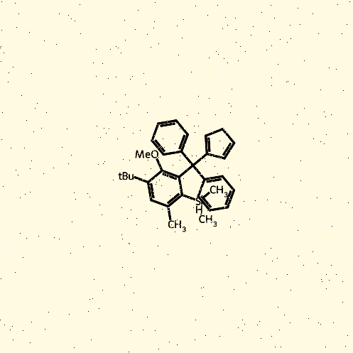 COc1c(C(C)(C)C)cc(C)c([SiH](C)C)c1C(C1=CCC=C1)(c1ccccc1)c1ccccc1